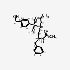 CC(=O)N[C@@H](Cc1ccccc1)[C@H](O)CN(CC(C)C)S(=O)(=O)c1ccc(CO)cc1